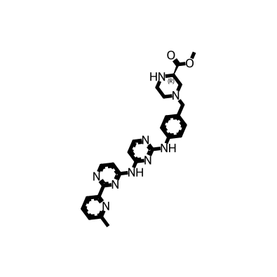 COC(=O)[C@H]1CN(Cc2ccc(Nc3nccc(Nc4ccnc(-c5cccc(C)n5)n4)n3)cc2)CCN1